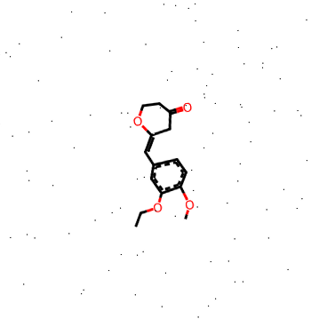 CCOc1cc(/C=C2\CC(=O)CCO2)ccc1OC